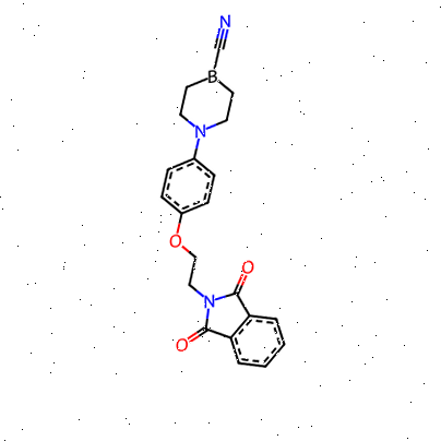 N#CB1CCN(c2ccc(OCCN3C(=O)c4ccccc4C3=O)cc2)CC1